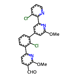 COc1cc(-c2cccc(-c3ccc(C=O)c(OC)n3)c2Cl)cc(-c2ncccc2Cl)n1